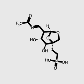 O=C(/N=C/C1[C@H]2OC[C@](CCP(=O)(O)O)(O2)[C@@H](O)[C@@H]1O)C(F)(F)F